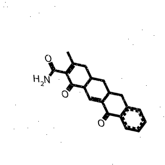 CC1=C(C(N)=O)C(=O)C2C=C3C(=O)c4ccccc4CC3CC2C1